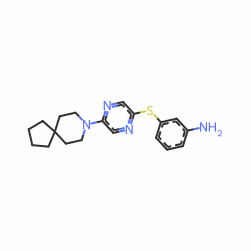 Nc1cccc(Sc2cnc(N3CCC4(CCCC4)CC3)cn2)c1